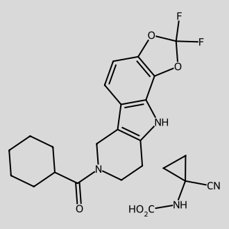 N#CC1(NC(=O)O)CC1.O=C(C1CCCCC1)N1CCc2[nH]c3c4c(ccc3c2C1)OC(F)(F)O4